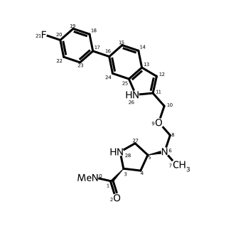 CNC(=O)[C@@H]1C[C@H](N(C)COCc2cc3ccc(-c4ccc(F)cc4)cc3[nH]2)CN1